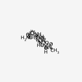 CCNC(=O)[C@H]1O[C@@H](n2cnc3c(NC(=O)Nc4cccc(S(N)(=O)=O)c4)ncnc32)[C@H](O)[C@@H]1O